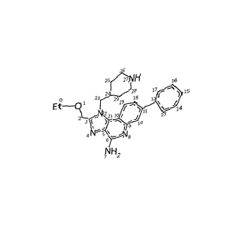 CCOCc1nc2c(N)nc3cc(-c4ccccc4)ccc3c2n1CC1CCNCC1